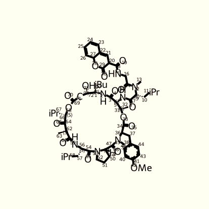 CC[C@H](C)[C@H]1NC(=O)[C@@H](NC(=O)[C@@H](CC(C)C)N(C)C(=O)CNC(=O)C2C=C3C=CC=CC3OC2=O)[C@@H](C)OC(=O)C(Cc2ccc(OC)cc2)N(C)C(=O)[C@@H]2CCCN2C(=O)[C@H](CC(C)C)NC(=O)[C@@H](C)C(=O)[C@H](C(C)C)OC(=O)C[C@@H]1O